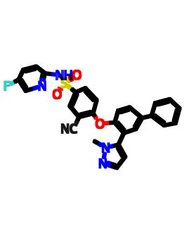 Cn1nccc1-c1cc(-c2ccccc2)ccc1Oc1ccc(S(=O)(=O)Nc2ccc(F)cn2)cc1C#N